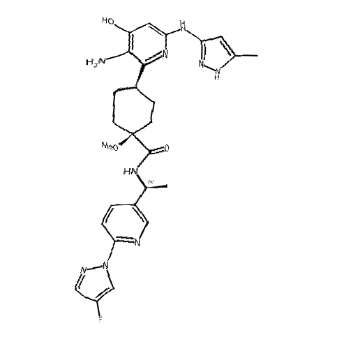 CO[C@]1(C(=O)N[C@@H](C)c2ccc(-n3cc(F)cn3)nc2)CC[C@H](c2nc(Nc3cc(C)[nH]n3)cc(O)c2N)CC1